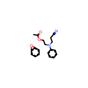 CC(=O)OCCN(CCC#N)c1ccccc1.c1ccc2c(c1)O2